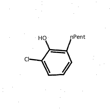 CCCCCc1cccc(Cl)c1O